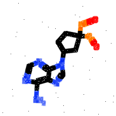 Nc1ncnc2c1ncn2C1CCC(P=O)(P=O)C1